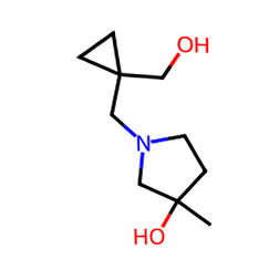 CC1(O)CCN(CC2(CO)CC2)C1